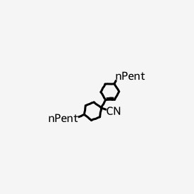 CCCCCC1CC=C(C2(C#N)CCC(CCCCC)CC2)CC1